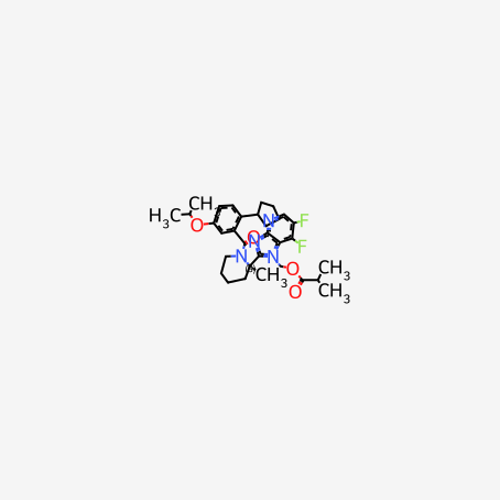 CC(C)Oc1ccc(C2CCCC2)c(C(=O)N2CCCC[C@@]2(C)c2nc3ncc(F)c(F)c3n2COC(=O)C(C)C)c1